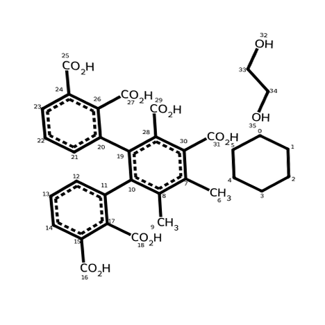 C1CCCCC1.Cc1c(C)c(-c2cccc(C(=O)O)c2C(=O)O)c(-c2cccc(C(=O)O)c2C(=O)O)c(C(=O)O)c1C(=O)O.OCCO